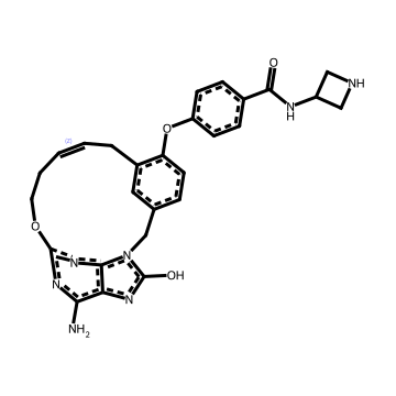 Nc1nc2nc3c1nc(O)n3Cc1ccc(Oc3ccc(C(=O)NC4CNC4)cc3)c(c1)C/C=C\CCO2